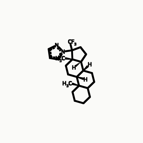 C[C@]12CCCCC1CC[C@@H]1[C@H]2CC[C@@]2(C)[C@H]1CCC2(n1cccn1)C(F)(F)F